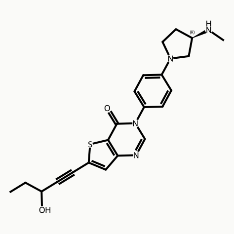 CCC(O)C#Cc1cc2ncn(-c3ccc(N4CC[C@@H](NC)C4)cc3)c(=O)c2s1